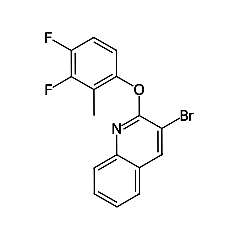 Cc1c(Oc2nc3ccccc3cc2Br)ccc(F)c1F